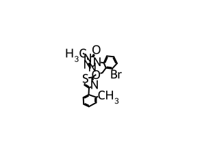 Cc1ccccc1-c1csc(OCc2c(Br)cccc2-n2nnn(C)c2=O)n1